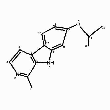 Cc1nccc2c1[nH]c1cc(OC(C)C)ccc12